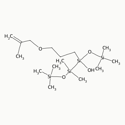 C=C(C)COCCC[Si](O)(O[Si](C)(C)C)[Si](C)(C)O[Si](C)(C)C